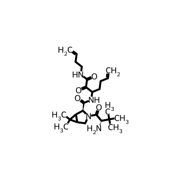 C=CCCNC(=O)C(=O)C(CCC=C)NC(=O)[C@@H]1C2C(CN1C(=O)[C@@H](N)C(C)(C)C)C2(C)C